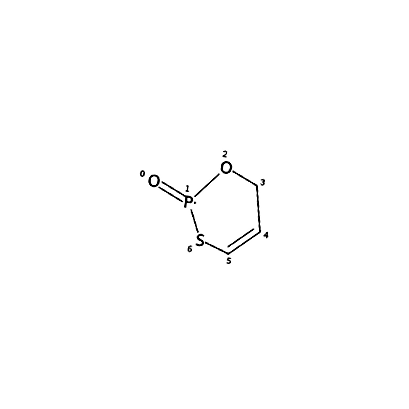 O=[P]1OCC=CS1